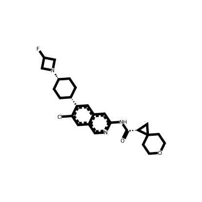 O=C(Nc1cc2cc([C@H]3CC[C@@H](N4CC(F)C4)CC3)c(Cl)cc2cn1)[C@@H]1CC12CCOCC2